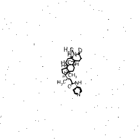 C[C@H](CC(=O)Nc1ccncc1)[C@H]1CC[C@H]2[C@@H]3CC[C@H]4N(C)C(=O)CC[C@]4(C)[C@H]3CC[C@]12C